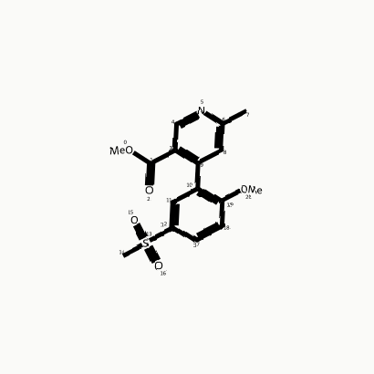 COC(=O)c1cnc(C)cc1-c1cc(S(C)(=O)=O)ccc1OC